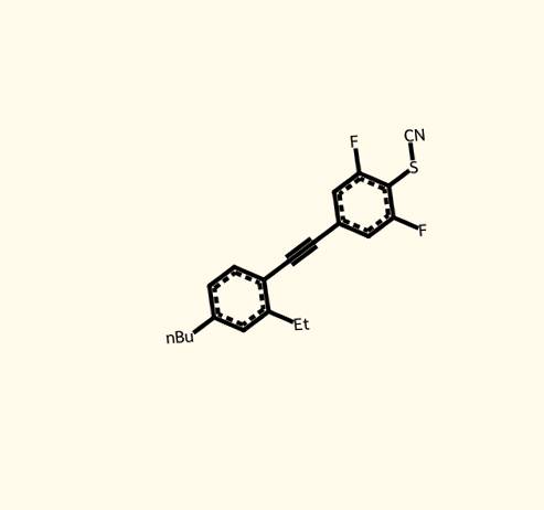 CCCCc1ccc(C#Cc2cc(F)c(SC#N)c(F)c2)c(CC)c1